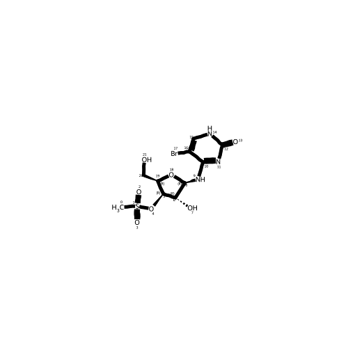 CS(=O)(=O)O[C@@H]1[C@@H](O)[C@H](Nc2nc(=O)[nH]cc2Br)O[C@@H]1CO